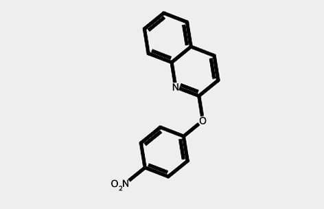 O=[N+]([O-])c1ccc(Oc2ccc3ccccc3n2)cc1